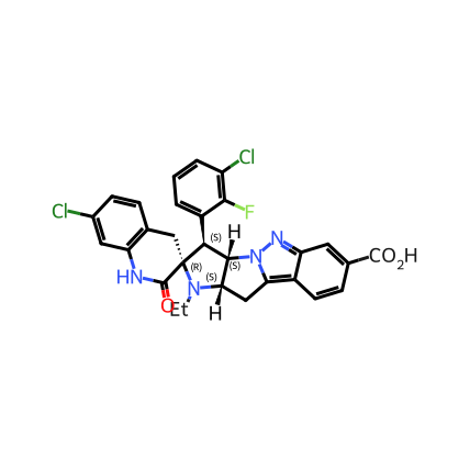 CCN1[C@H]2Cc3c4ccc(C(=O)O)cc4nn3[C@H]2[C@H](c2cccc(Cl)c2F)[C@@]12Cc1ccc(Cl)cc1NC2=O